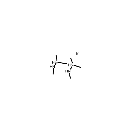 CN[SiH](C)C.CN[SiH](C)C.[K]